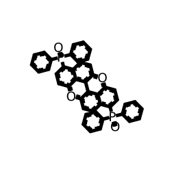 O=P(c1ccccc1)(c1ccccc1)c1ccc2oc3ccc4c(P(=O)(c5ccccc5)c5ccccc5)ccc5oc6ccc1c2c6-c3c54